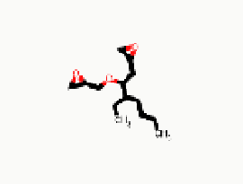 CCCCC(CC)C(CC1CO1)OCC1CO1